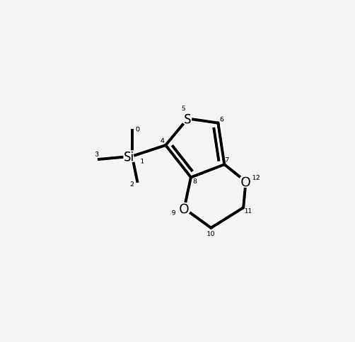 C[Si](C)(C)c1scc2c1OCCO2